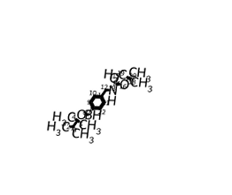 CC(C)C(C)(C)OBc1ccc(CNC(=O)OC(C)(C)C)cc1